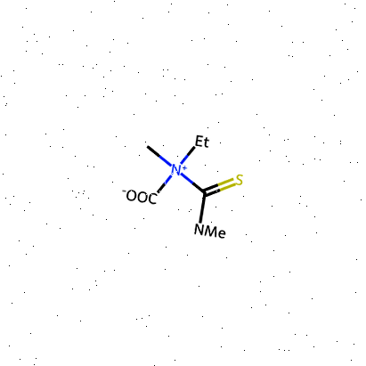 CC[N+](C)(C(=O)[O-])C(=S)NC